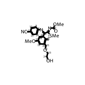 COC(=O)N=C(SC)C(=Nc1ccc(C#N)cc1)c1cc(OC)cc(COCCO)c1F